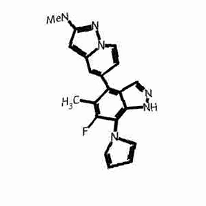 CNc1cc2cc(-c3c(C)c(F)c(-n4cccc4)c4[nH]ncc34)ccn2n1